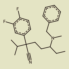 CCC(CCC(C#N)(c1ccc(F)c(F)c1)C(C)C)N(C)Cc1ccccc1